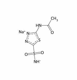 CC(=O)Nc1nnc(S([NH-])(=O)=O)s1.[Na+]